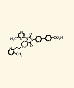 Cc1cncc(N2C(=O)N(c3ccc(-c4ccc(C(=O)O)cc4)cc3)C(=O)C23CCN(CCc2ncccc2C)CC3)n1